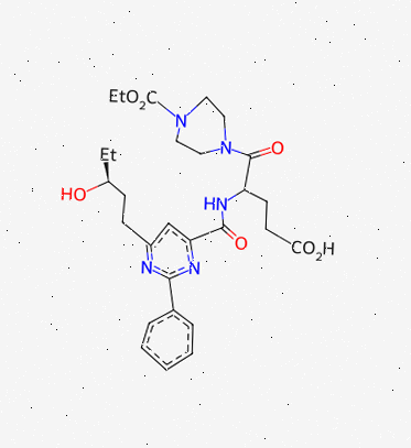 CCOC(=O)N1CCN(C(=O)C(CCC(=O)O)NC(=O)c2cc(CC[C@@H](O)CC)nc(-c3ccccc3)n2)CC1